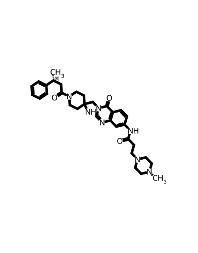 C[C@H](CC(=O)N1CCC(N)(Cn2cnc3cc(NC(=O)CCN4CCN(C)CC4)ccc3c2=O)CC1)c1ccccc1